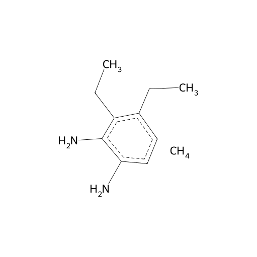 C.CCc1ccc(N)c(N)c1CC